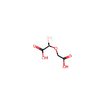 BC(OCC(=O)O)C(=O)O